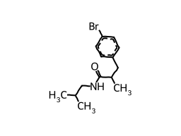 CC(C)CNC(=O)C(C)Cc1ccc(Br)cc1